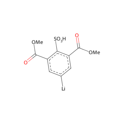 [Li][c]1cc(C(=O)OC)c(S(=O)(=O)O)c(C(=O)OC)c1